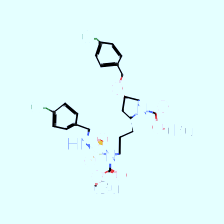 CC(C)(C)OC(=O)N1C[C@H](OCc2ccc(Cl)cc2)C[C@@H]1CCCN(C(=O)OC(C)(C)C)S(=O)(=O)NCc1ccc(Cl)cc1